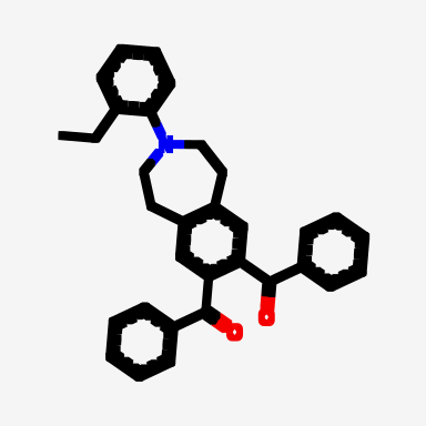 CCc1ccccc1N1CCc2cc(C(=O)c3ccccc3)c(C(=O)c3ccccc3)cc2CC1